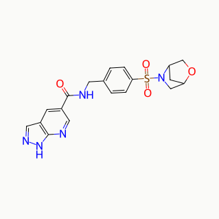 O=C(NCc1ccc(S(=O)(=O)N2CC3CC2CO3)cc1)c1cnc2[nH]ncc2c1